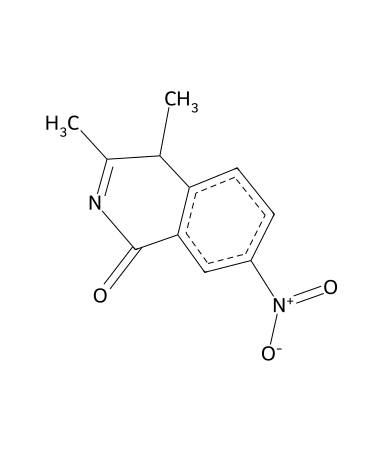 CC1=NC(=O)c2cc([N+](=O)[O-])ccc2C1C